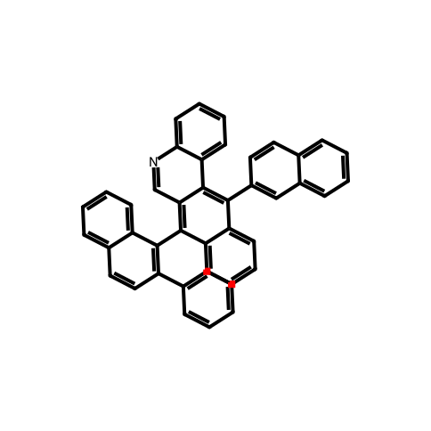 c1ccc(-c2ccc3ccccc3c2-c2c3ccccc3c(-c3ccc4ccccc4c3)c3c2cnc2ccccc23)cc1